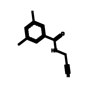 Cc1cc(C)cc(C(=O)NCC#N)c1